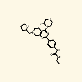 CCNC(=O)Nc1ccc(-c2nc3c(c(N4CCOC[C@@H]4C)n2)CCN(CC2CCCO2)C3)cc1